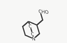 O=CCC1CN2CCC1CC2